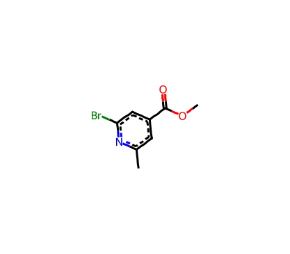 COC(=O)c1cc(C)nc(Br)c1